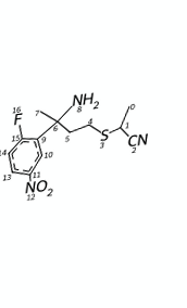 CC(C#N)SCCC(C)(N)c1cc([N+](=O)[O-])ccc1F